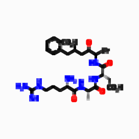 CC(C)C(NC(=O)[C@H](CC(=O)O)NC(=O)[C@H](C)NC(=O)[C@@H](N)CCCNC(=N)N)C(=O)CC(Cc1ccccc1)C(=O)O